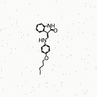 O=C1Nc2ccccc2/C1=C\Nc1ccc(OCCCI)cc1